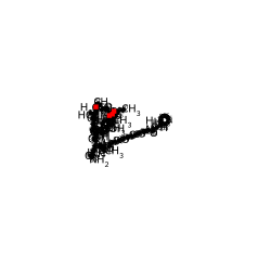 CCCC1O[C@@H]2CC3[C@@H]4C[C@H](F)C5=CC(=O)C=C[C@]5(C)[C@@]4(F)[C@@H](O)C[C@]3(C)[C@]2(C(=O)COC(=O)[C@H](CC(C)C)NC(=O)[C@H](CO)NC(=O)OCc2ccc(NC(=O)[C@H](CCCNC(N)=O)NC(=O)[C@@H](NC(=O)CCOCCOCCOCCOCCNC(=O)OC[C@@H]3[C@@H]4CC/C=C\CC[C@@H]43)C(C)C)cc2)O1